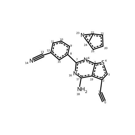 C#Cc1csc2nc(-c3cccc(C#N)c3)nc(N)c12.c1cc2nc-2c1